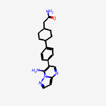 NC(=O)CC1CCC(c2ccc(-c3cnc4ccnn4c3N)cc2)CC1